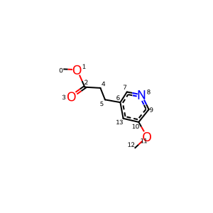 COC(=O)CCc1cncc(OC)c1